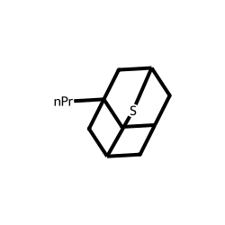 CCCC12CC3CC(C1)SC(C3)C2